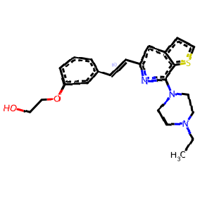 CCN1CCN(c2nc(/C=C/c3cccc(OCCO)c3)cc3ccsc23)CC1